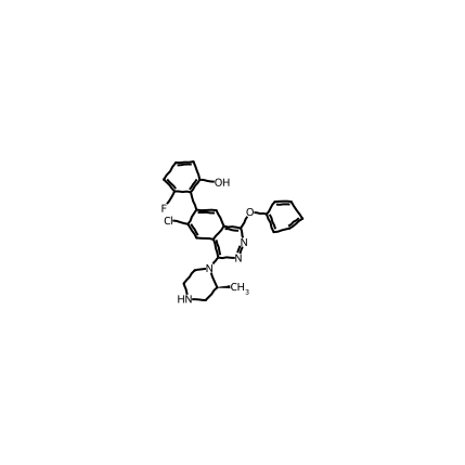 C[C@H]1CNCCN1c1nnc(Oc2ccccc2)c2cc(-c3c(O)cccc3F)c(Cl)cc12